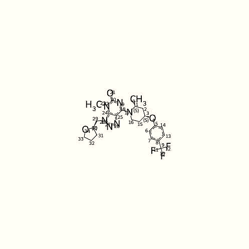 C[C@H]1C[C@@H](Oc2ccc(C(F)(F)F)cc2)CCN1c1nc(=O)n(C)c2c1nnn2C[C@H]1CCCO1